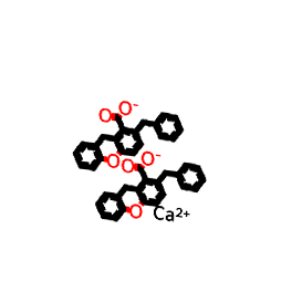 O=C([O-])c1c(Cc2ccccc2)ccc2c1Cc1ccccc1O2.O=C([O-])c1c(Cc2ccccc2)ccc2c1Cc1ccccc1O2.[Ca+2]